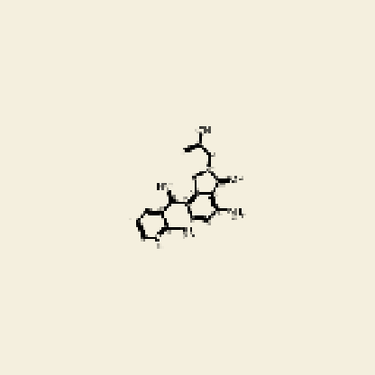 C=C(C#N)CN1Cc2c(C(=N)c3cccnc3N)ccc(N)c2C1=O